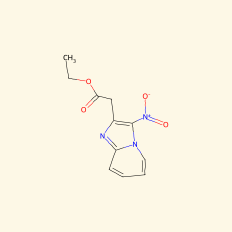 CCOC(=O)Cc1nc2ccccn2c1[N+](=O)[O-]